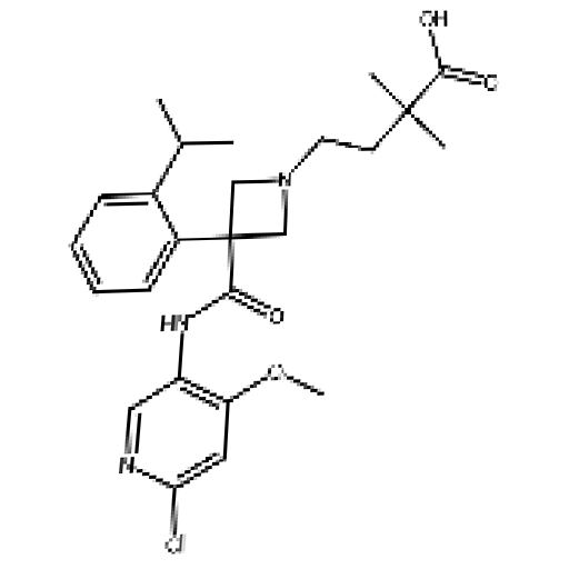 COc1cc(Cl)ncc1NC(=O)C1(c2ccccc2C(C)C)CN(CCC(C)(C)C(=O)O)C1